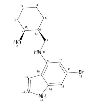 O[C@H]1CCCC[C@H]1CNc1cc(Br)cc2[nH]ncc12